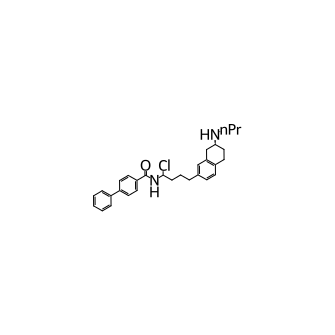 CCCN[C@H]1CCc2ccc(CCCC(Cl)NC(=O)c3ccc(-c4ccccc4)cc3)cc2C1